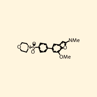 CNc1cc2cc(-c3ccc(S(=O)(=O)N4CCOCC4)cc3)cc(OC)c2o1